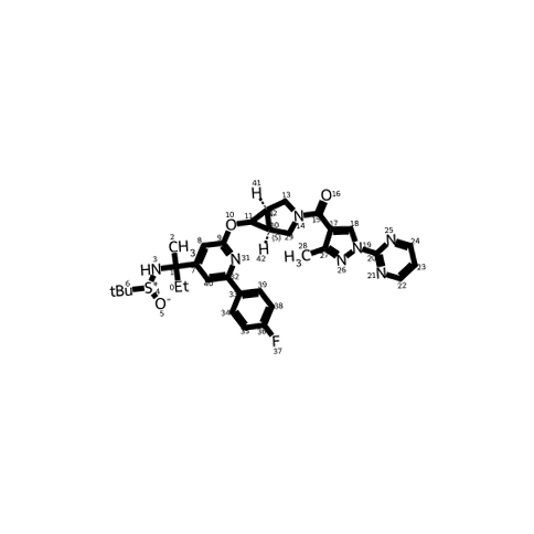 CCC(C)(N[S+]([O-])C(C)(C)C)c1cc(OC2[C@H]3CN(C(=O)c4cn(-c5ncccn5)nc4C)C[C@@H]23)nc(-c2ccc(F)cc2)c1